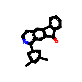 Cc1cc(C)cc(-c2nccc3cc4c(cc23)C(=O)c2ccccc2-4)c1